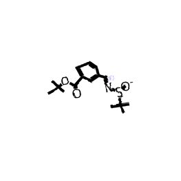 CC(C)(C)OC(=O)c1cccc(/C=N/[S+]([O-])C(C)(C)C)c1